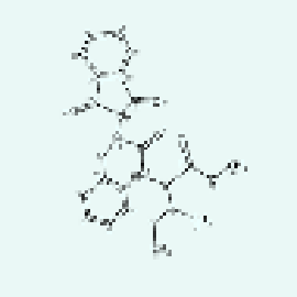 CCC(C)C(NC(=O)N(Cc1ccccc1)N1C(=O)c2ccccc2C1=O)C(=O)OC